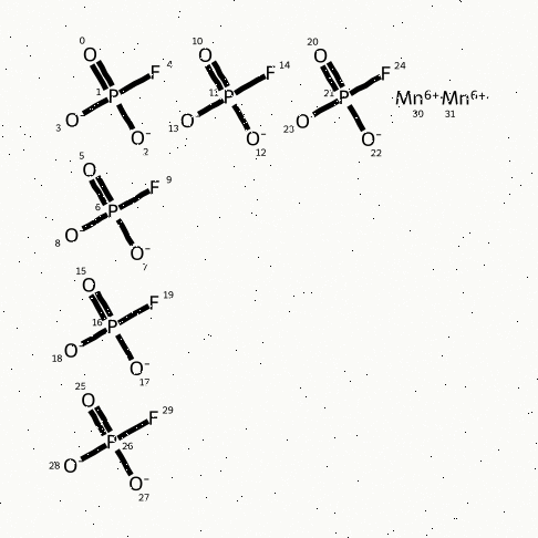 O=P([O-])([O-])F.O=P([O-])([O-])F.O=P([O-])([O-])F.O=P([O-])([O-])F.O=P([O-])([O-])F.O=P([O-])([O-])F.[Mn+6].[Mn+6]